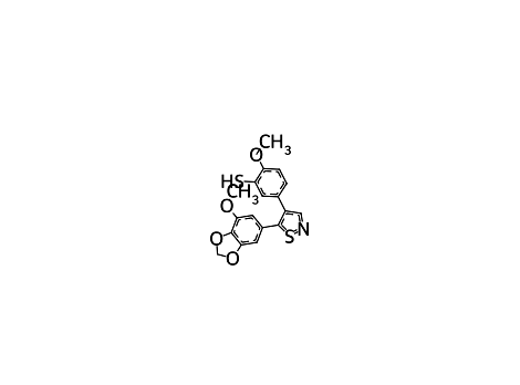 COc1ccc(-c2cnsc2-c2cc(OC)c3c(c2)OCO3)cc1S